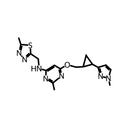 Cc1nc(NCc2nnc(C)s2)cc(OCC2CC2c2ccn(C)n2)n1